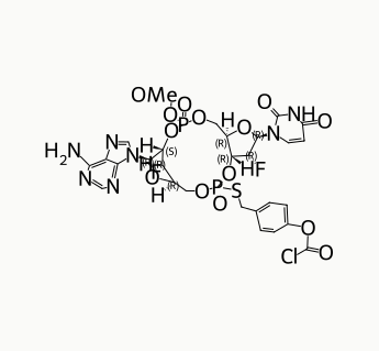 COOP1(=O)OC[C@H]2O[C@@H](n3ccc(=O)[nH]c3=O)[C@H](F)[C@@H]2OP(=O)(SCc2ccc(OC(=O)Cl)cc2)OC[C@H]2O[C@@H](n3cnc4c(N)ncnc43)[C@H](O1)[C@@H]2F